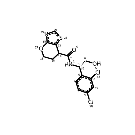 O=C(N[C@H](CO)c1ccc(Cl)cc1Cl)C1CCOc2ncsc21